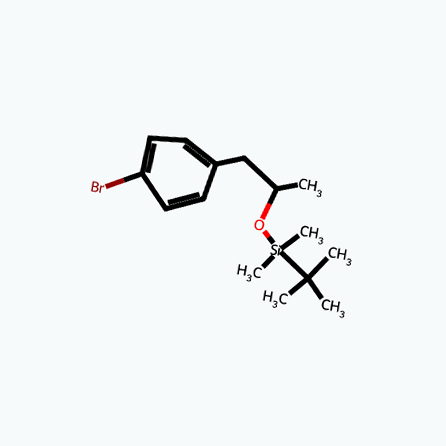 CC(Cc1ccc(Br)cc1)O[Si](C)(C)C(C)(C)C